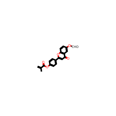 C=C(C)C(=O)Oc1ccc(-c2cc(=O)c3cc(OC=O)ccc3o2)cc1